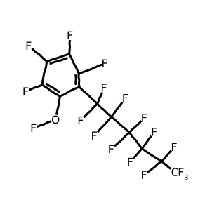 FOc1c(F)c(F)c(F)c(F)c1C(F)(F)C(F)(F)C(F)(F)C(F)(F)C(F)(F)C(F)(F)F